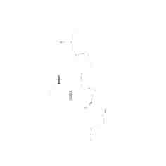 C=C(C(N)=O)[C@H](NC(=O)N[C@H](C(=O)O)C(C)O)C1NNC([C@@H](N)CO)S1